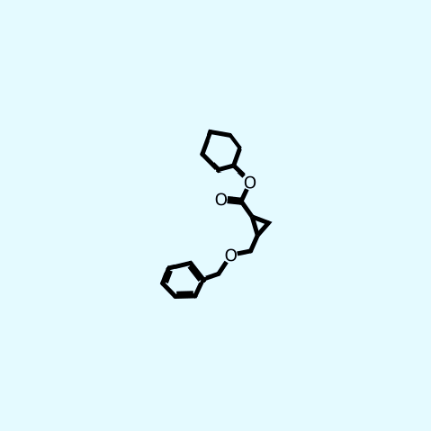 O=C(OC1CCCCC1)C1CC1COCc1ccccc1